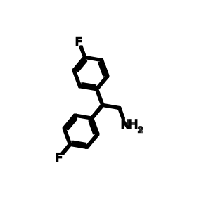 NCC(c1ccc(F)cc1)c1ccc(F)cc1